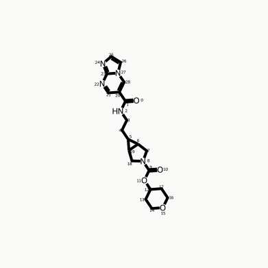 O=C(NCCC1C2CN(C(=O)OC3CCOCC3)CC12)c1cnc2nccn2c1